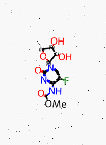 COC(=O)Nc1nc(=O)n([C@@H]2O[C@H](C)[C@H](O)[C@@H]2O)cc1F